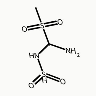 CS(=O)(=O)[C](N)N[SH](=O)=O